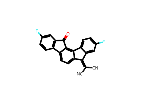 N#CC(C#N)=C1c2cc(F)ccc2-c2c1ccc1c2C(=O)c2cc(F)ccc2-1